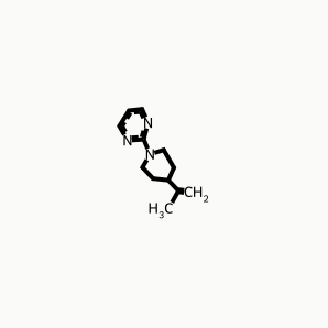 C=C(C)C1CCN(c2ncccn2)CC1